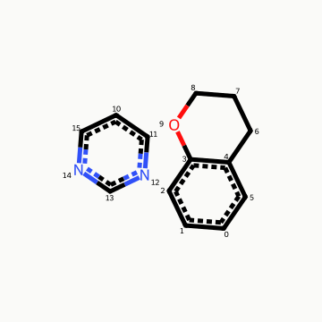 c1ccc2c(c1)CCCO2.c1cncnc1